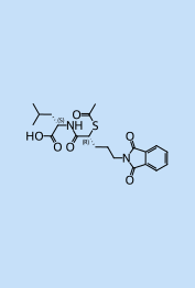 CC(=O)S[C@H](CCCN1C(=O)c2ccccc2C1=O)C(=O)N[C@@H](CC(C)C)C(=O)O